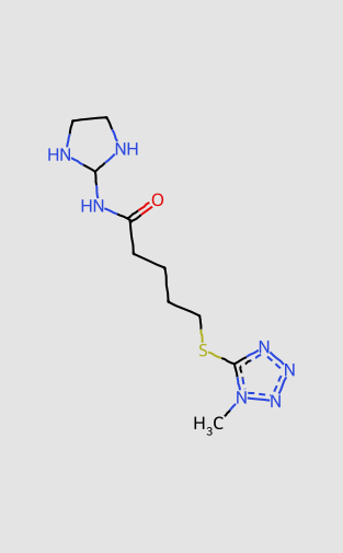 Cn1nnnc1SCCCCC(=O)NC1NCCN1